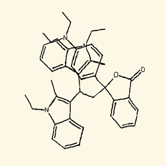 CCN(CC)c1ccc(C2(CC(c3c(C)n(CC)c4ccccc34)c3c(C)n(CC)c4ccccc34)OC(=O)c3ccccc32)cc1